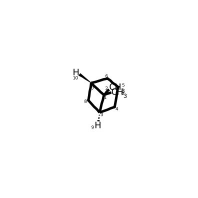 CC1(C)[C@H]2CCC[C@H]1C2